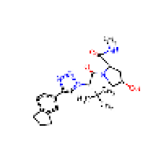 CNC(=O)C1CC(O)CN1C(=O)[C@@H](n1cc(-c2ccc3c(c2)CCC3)nn1)C(C)(C)C